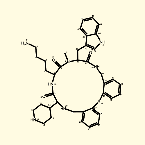 CN1C(=O)C(CCCCN)NC(=O)C(C2CCNCC2)NCc2ccccc2Sc2ccccc2CNC(=O)C1Cc1c[nH]c2ccccc12